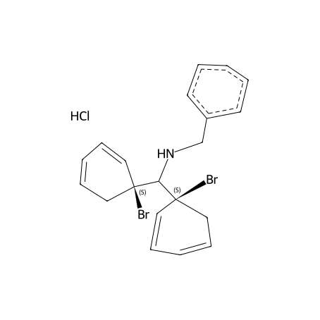 Br[C@]1(C(NCc2ccccc2)[C@@]2(Br)C=CC=CC2)C=CC=CC1.Cl